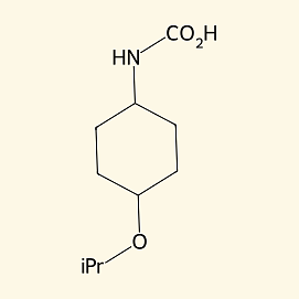 CC(C)OC1CCC(NC(=O)O)CC1